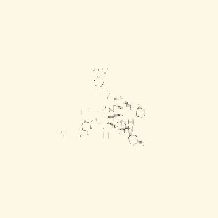 CCCCCCCCCCC(=O)N[C@H]1C(COCc2ccc(OC)cc2)OCC(NCc2ccccc2)[C@H]1O[C@@H]1OC(COCc2ccc(OC)cc2)[C@@H](C)[C@H](C)C1NC(=O)Nc1cccc(C)c1